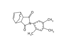 Cc1cc(C)c(N2C(=O)C3C4C=CC(CC4)C3C2=O)cc1C